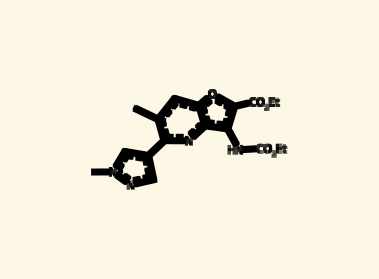 CCOC(=O)Nc1c(C(=O)OCC)oc2cc(C)c(-c3cnn(C)c3)nc12